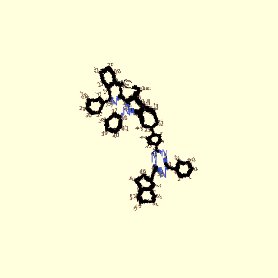 c1ccc(-c2nc(-c3ccc(-c4ccc5c6ccc7c8ccccc8c(-c8ccccc8)nc7c6n(-c6ccccc6)c5c4)cc3)nc(-c3ccc4ccccc4c3)n2)cc1